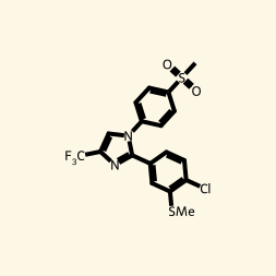 CSc1cc(-c2nc(C(F)(F)F)cn2-c2ccc(S(C)(=O)=O)cc2)ccc1Cl